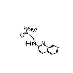 CNC(=O)CNc1ccc2ccccc2n1